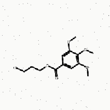 COc1cc(C(=O)OCCCCl)cc(OC)c1OC